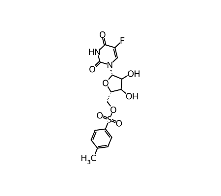 Cc1ccc(S(=O)(=O)OC[C@@H]2O[C@H](n3cc(F)c(=O)[nH]c3=O)C(O)C2O)cc1